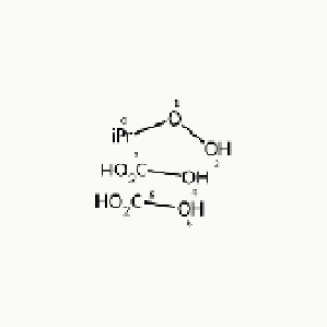 CC(C)OO.O=C(O)O.O=C(O)O